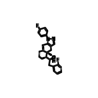 C[C@]12Cc3cnn(-c4ccc(F)cc4)c3C=C1CCC[C@@H]2[C@@H](O)Cc1ccccc1F